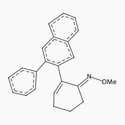 CON=C1CCCC=C1c1cc2ccccc2cc1-c1ccccc1